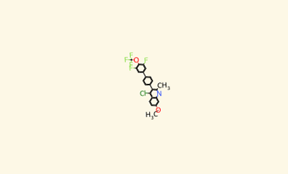 COc1ccc2c(Cl)c(-c3ccc(-c4cc(F)c(OC(F)(F)F)c(F)c4)cc3)c(C)nc2c1